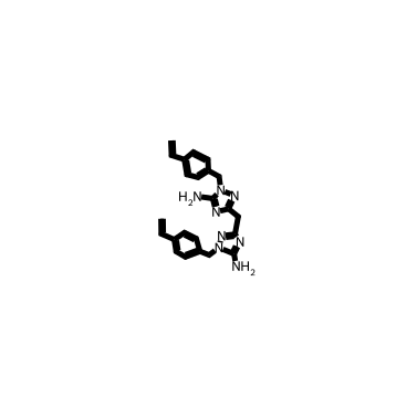 C=Cc1ccc(Cn2nc(Cc3nc(N)n(Cc4ccc(C=C)cc4)n3)nc2N)cc1